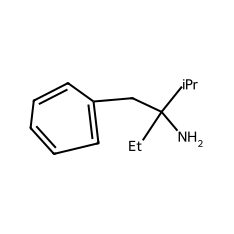 CCC(N)(Cc1ccccc1)C(C)C